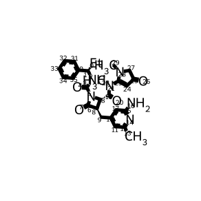 CC[C@@H](NC(=O)N1C(=O)[C@H](Cc2cc(C)nc(N)c2)[C@H]1C(=O)N(C)C1=CC(=O)CN1C)c1ccccc1